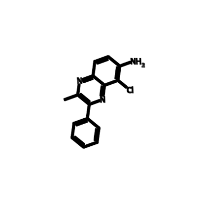 Cc1nc2ccc(N)c(Cl)c2nc1-c1ccccc1